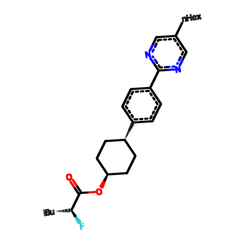 CCCCCCc1cnc(-c2ccc([C@H]3CC[C@H](OC(=O)[C@@H](F)[C@@H](C)CC)CC3)cc2)nc1